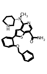 CN(c1ncc(C(N)=O)c2sc(-c3ccccc3OCc3ccccc3)cc12)[C@H]1CCCNC1